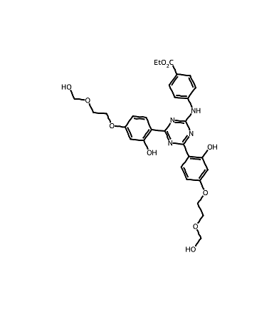 CCOC(=O)c1ccc(Nc2nc(-c3ccc(OCCOCO)cc3O)nc(-c3ccc(OCCOCO)cc3O)n2)cc1